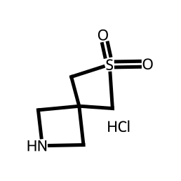 Cl.O=S1(=O)CC2(CNC2)C1